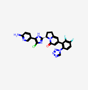 Nc1ccc(-c2[nH]c([C@@H]3CCc4cc(-c5c(-n6cnnn6)ccc(F)c5F)cc(=O)n43)nc2Cl)cn1